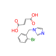 Brc1ccccc1Cn1ccnc1.O=C(O)C=CC(=O)O